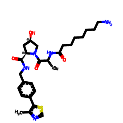 Cc1ncsc1-c1ccc(CNC(=O)[C@@H]2C[C@@H](O)CN2C(=O)C(NC(=O)CCCCCCCN)C(C)(C)C)cc1